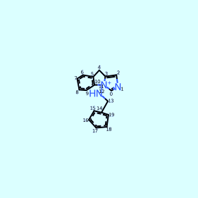 C1=NC=C2Cc3ccccc3[N+]12NCc1ccccc1